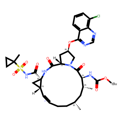 C[C@@H]1CC/C=C\[C@@H]2C[C@@]2(C(=O)NS(=O)(=O)C2(C)CC2)NC(=O)[C@@H]2C[C@@H](Oc3ncnc4c(Cl)cccc34)CN2C(=O)[C@@H](NC(=O)OC(C)(C)C)[C@H](C)C1